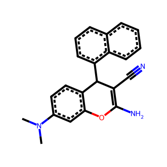 CN(C)c1ccc2c(c1)OC(N)=C(C#N)C2c1cccc2ccccc12